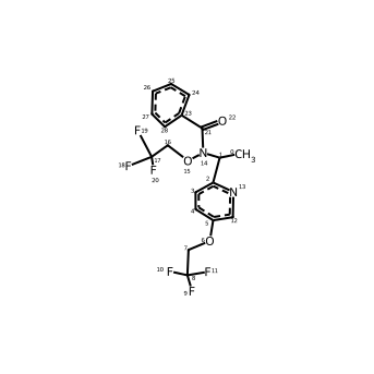 CC(c1ccc(OCC(F)(F)F)cn1)N(OCC(F)(F)F)C(=O)c1ccccc1